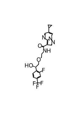 O=C(NCCOC[C@H](O)c1ccc(C(F)(F)F)cc1F)c1cnn2cc(C3CC3)cnc12